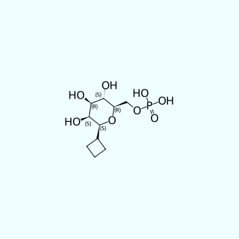 O=P(O)(O)OC[C@H]1O[C@@H](C2CCC2)[C@@H](O)[C@@H](O)[C@@H]1O